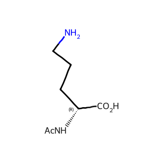 CC(=O)N[C@H](CCCN)C(=O)O